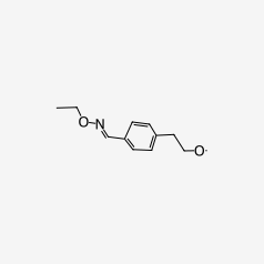 CCO/N=C/c1ccc(CC[O])cc1